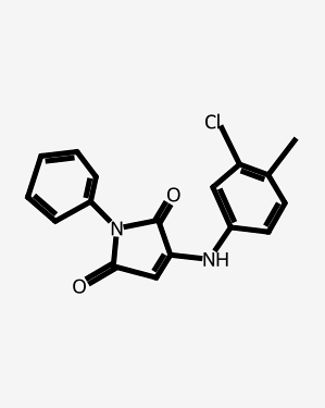 Cc1ccc(NC2=CC(=O)N(c3ccccc3)C2=O)cc1Cl